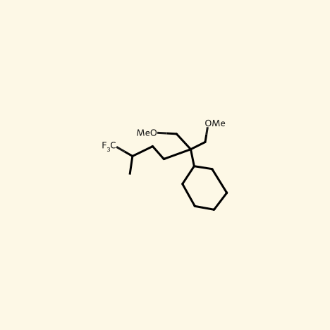 COCC(CCC(C)C(F)(F)F)(COC)C1CCCCC1